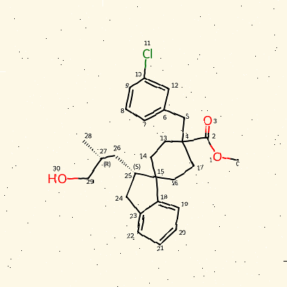 COC(=O)C1(Cc2cccc(Cl)c2)CCC2(CC1)c1ccccc1C[C@@H]2C[C@@H](C)CO